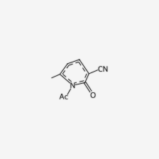 CC(=O)n1c(C)ccc(C#N)c1=O